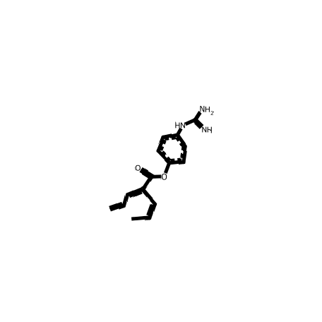 C=C/C=C(\C=C/C)C(=O)Oc1ccc(NC(=N)N)cc1